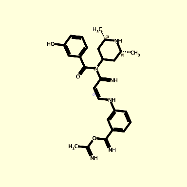 CC(=N)OC(=N)c1cccc(N/C=C\C(=N)N(C(=O)c2cccc(O)c2)C2C[C@@H](C)N[C@@H](C)C2)c1